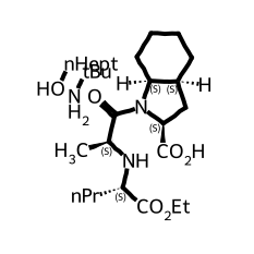 CC(C)(C)N.CCCCCCCO.CCC[C@H](N[C@@H](C)C(=O)N1[C@H](C(=O)O)C[C@@H]2CCCC[C@@H]21)C(=O)OCC